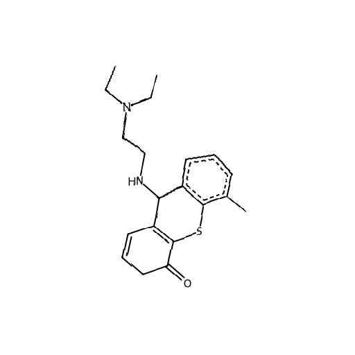 CCN(CC)CCNC1C2=C(Sc3c(C)cccc31)C(=O)CC=C2